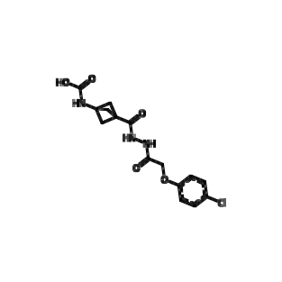 O=C(O)NC12CC(C(=O)NNC(=O)COc3ccc(Cl)cc3)(C1)C2